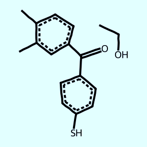 CCO.Cc1ccc(C(=O)c2ccc(S)cc2)cc1C